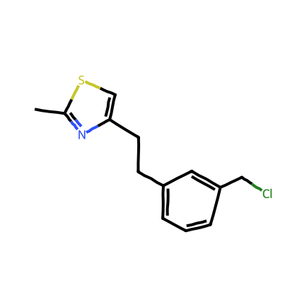 Cc1nc(CCc2cccc(CCl)c2)cs1